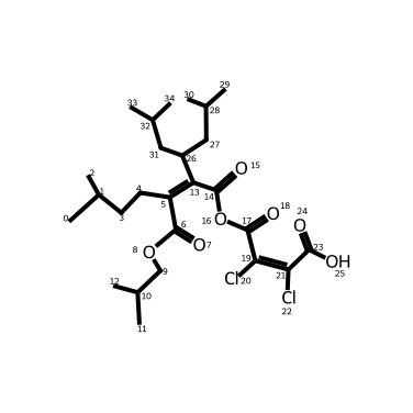 CC(C)CC/C(C(=O)OCC(C)C)=C(/C(=O)OC(=O)/C(Cl)=C(/Cl)C(=O)O)C(CC(C)C)CC(C)C